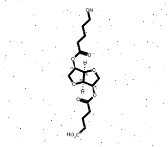 O=C(O)CCCC(=O)O[C@@H]1CO[C@H]2[C@@H]1OC[C@H]2OC(=O)CCCCO